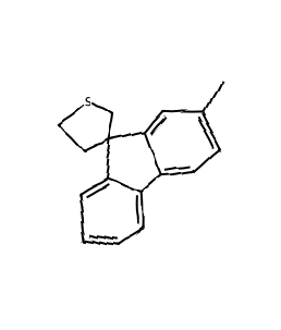 Cc1ccc2c(c1)C1(CCSC1)c1ccccc1-2